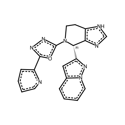 c1ccc(-c2nnc(N3CCc4[nH]cnc4[C@@H]3c3cc4ccccn4n3)o2)nc1